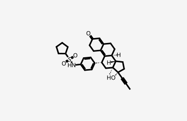 CC#C[C@]1(O)CC[C@H]2[C@@H]3CCC4=CC(=O)CCC4=C3[C@@H](c3ccc(NS(=O)(=O)C4CCCC4)cc3)C[C@@]21C